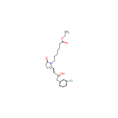 CCOC(=O)CCCCCCN1C(=O)CC[C@@H]1C=C[C@@H](O)Cc1cccc(Cl)c1